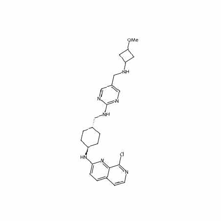 COC1CC(NCc2cnc(NC[C@H]3CC[C@H](Nc4ccc5ccnc(Cl)c5n4)CC3)nc2)C1